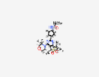 CNC(=O)Nc1ccc(-c2nc(N3CCOC[C@@H]3C)c3c(n2)C(C)(C)S(=O)(=O)C3C)cc1